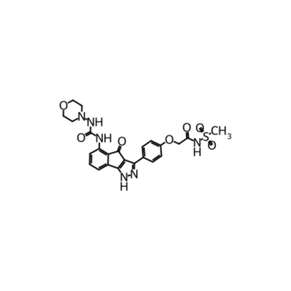 CS(=O)(=O)NC(=O)COc1ccc(-c2n[nH]c3c2C(=O)c2c(NC(=O)NN4CCOCC4)cccc2-3)cc1